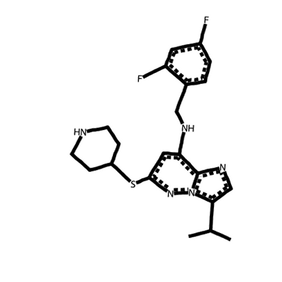 CC(C)c1cnc2c(NCc3ccc(F)cc3F)cc(SC3CCNCC3)nn12